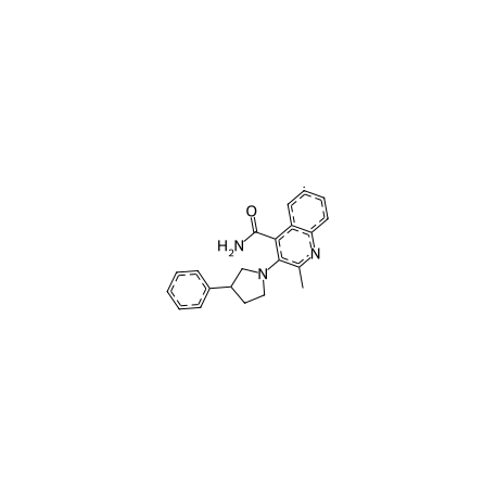 Cc1nc2cc[c]cc2c(C(N)=O)c1N1CCC(c2ccccc2)C1